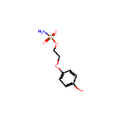 NS(=O)(=O)OCCOc1ccc(O)cc1